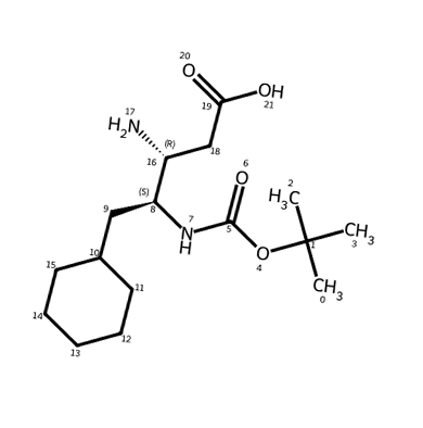 CC(C)(C)OC(=O)N[C@@H](CC1CCCCC1)[C@H](N)CC(=O)O